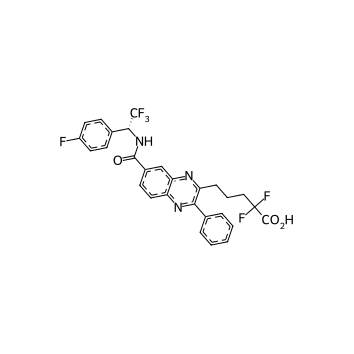 O=C(N[C@H](c1ccc(F)cc1)C(F)(F)F)c1ccc2nc(-c3ccccc3)c(CCCC(F)(F)C(=O)O)nc2c1